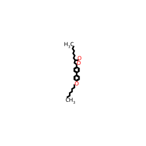 CCCCCCCCOc1ccc(-c2ccc(C3CC(CCCCCCC)C(=O)O3)cc2)cc1